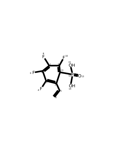 C=Cc1c(F)c(F)c(F)c(F)c1P(=O)(O)O